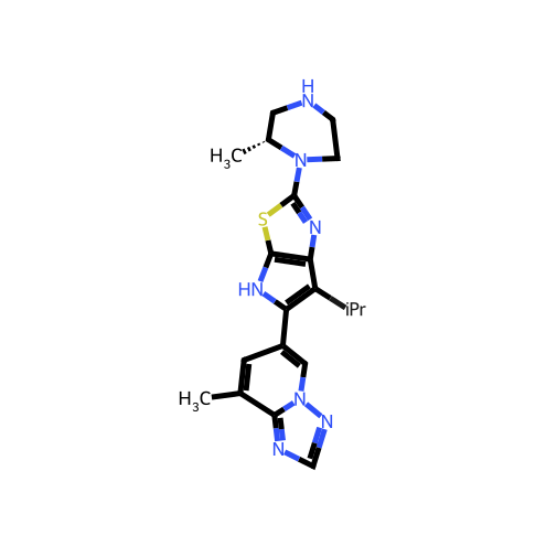 Cc1cc(-c2[nH]c3sc(N4CCNC[C@H]4C)nc3c2C(C)C)cn2ncnc12